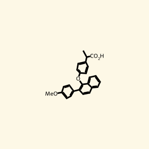 COc1ccc(-c2ccc3ccccc3c2Oc2ccc(C(C)C(=O)O)cc2)cc1